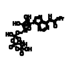 CCCC(=O)Nc1ncnc2c1ncn2[C@@H]1O[C@H](COP(=O)(O)OP(=O)(O)OP(=O)(O)O)[C@@H](O)[C@H]1O